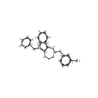 Fc1cccc(CN2CCCc3c(c4ccccc4n3Cc3cccnc3)C2)c1